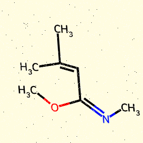 C/N=C(\C=C(C)C)OC